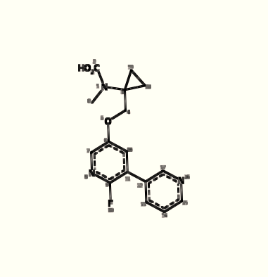 CN(C(=O)O)C1(COc2cnc(F)c(-c3cccnc3)c2)CC1